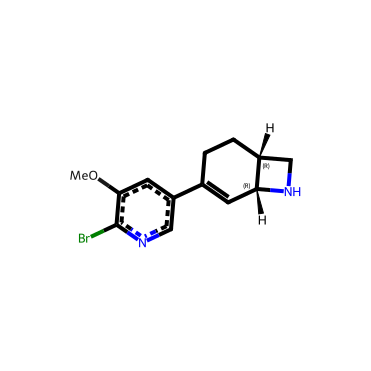 COc1cc(C2=C[C@H]3NC[C@H]3CC2)cnc1Br